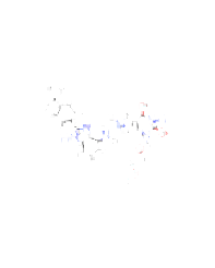 COCCOCn1cc(CN2CCN(c3cccc4[nH]c(-c5ccc(C(C)(C)C)cc5)nc34)CC2)c(=O)[nH]c1=O